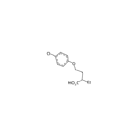 CCC(CCOc1ccc(Cl)cc1)C(=O)O